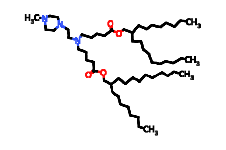 CCCCCCCCCCC(CCCCCCCC)COC(=O)CCCCN(CCCCC(=O)OCC(CCCCCCCC)CCCCCCCCCC)CCN1CCN(C)CC1